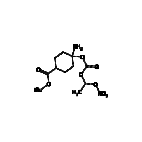 CC(OC(=O)OC1(N)CCC(C(=O)OC(C)(C)C)CC1)O[N+](=O)[O-]